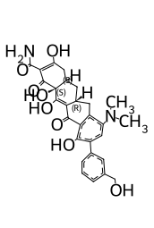 CN(C)c1cc(-c2cccc(CO)c2)c(O)c2c1C[C@H]1C[C@H]3CC(O)=C(C(N)=O)C(=O)[C@@]3(O)C(O)=C1C2=O